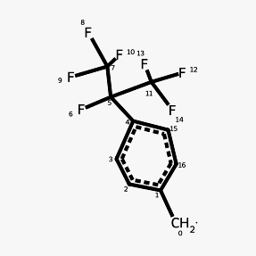 [CH2]c1ccc(C(F)(C(F)(F)F)C(F)(F)F)cc1